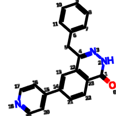 O=c1[nH]nc(Cc2ccccc2)c2cc(-c3ccncc3)ccc12